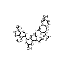 Cc1c(C(CC(=O)O)c2cc(CN3Cc4nc(O)ccc4CC(C4CC4)C3)c3sccc3c2)ccc2c1nnn2C